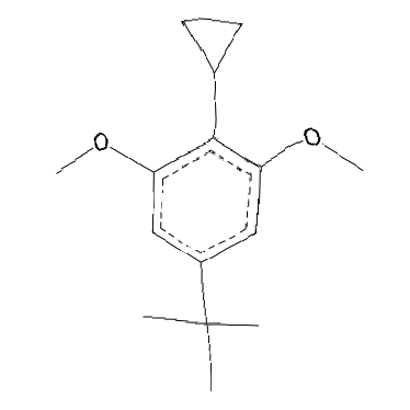 COc1cc(C(C)(C)C)cc(OC)c1C1CC1